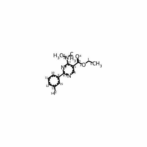 CCOC(=O)c1cnc(-c2cccc(F)c2)nc1N(C)C